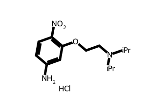 CC(C)N(CCOc1cc(N)ccc1[N+](=O)[O-])C(C)C.Cl